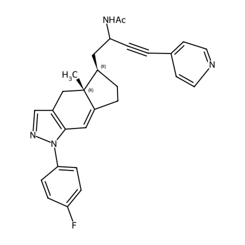 CC(=O)NC(C#Cc1ccncc1)C[C@H]1CCC2=Cc3c(cnn3-c3ccc(F)cc3)C[C@@]21C